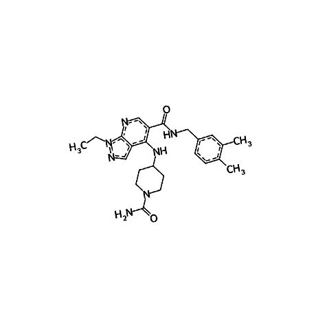 CCn1ncc2c(NC3CCN(C(N)=O)CC3)c(C(=O)NCc3ccc(C)c(C)c3)cnc21